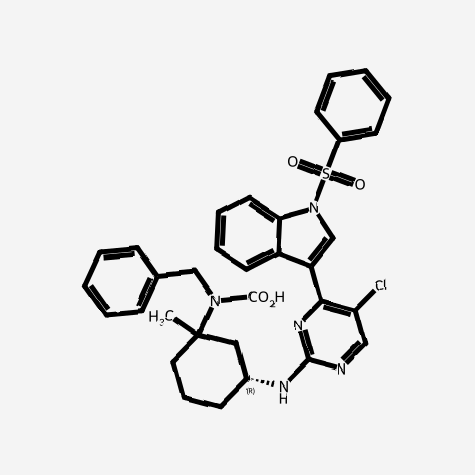 CC1(N(Cc2ccccc2)C(=O)O)CCC[C@@H](Nc2ncc(Cl)c(-c3cn(S(=O)(=O)c4ccccc4)c4ccccc34)n2)C1